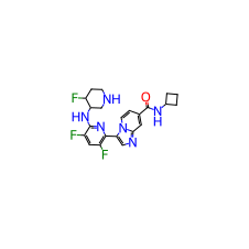 O=C(NC1CCC1)c1ccn2c(-c3nc(NC4CNCCC4F)c(F)cc3F)cnc2c1